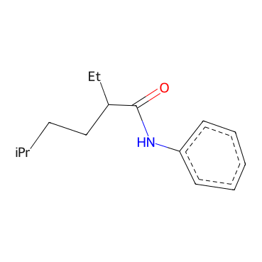 CCC(CCC(C)C)C(=O)Nc1ccccc1